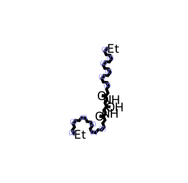 CC/C=C\C/C=C\C/C=C\C/C=C\C/C=C\C/C=C\CCC(=O)NCC(O)CNC(=O)CC/C=C\C/C=C\C/C=C\C/C=C\C/C=C\C/C=C\CC